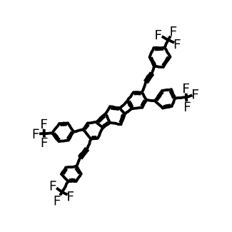 FC(F)(F)c1ccc(C#Cc2cc3c(cc2-c2ccc(C(F)(F)F)cc2)c2cc4c5cc(C#Cc6ccc(C(F)(F)F)cc6)c(-c6ccc(C(F)(F)F)cc6)cc5c4cc32)cc1